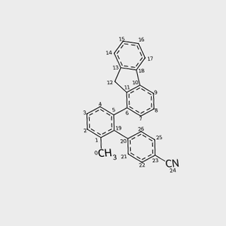 Cc1cccc(-c2cccc3c2Cc2ccccc2-3)c1-c1ccc(C#N)cc1